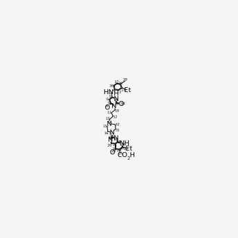 CCc1cc(Nc2cc(=O)n(CCCCN3CCN(c4ncc5c(=O)c(C(=O)O)c(CC)[nH]c5n4)CC3)c(=O)[nH]2)ccc1C